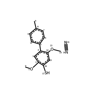 COc1cc(-c2ccc(C)cc2)c(OC)cc1S.N#N